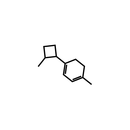 CC1=CC=C(C2CCC2C)CC1